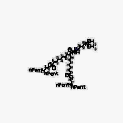 CCCCCC(CCCCC)CCOC(=O)CCCCCCCC(CCCCCCCC(=O)OCCC(CCCCC)CCCCC)C(=O)N/N=C/CCCN(C)C